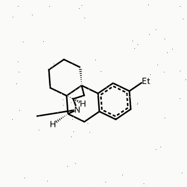 CCc1ccc2c(c1)[C@]13CCCC[C@@H]1[C@H](C2)N(C)CC3